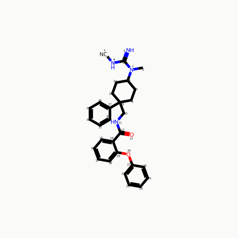 CN(C(=N)NC#N)C1CCC(CNC(=O)c2ccccc2Oc2ccccc2)(c2ccccc2)CC1